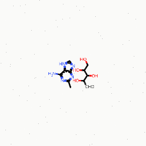 Cc1nc(N)c2[nH]cnc2n1.O=CC(O)C(O)C(O)CO